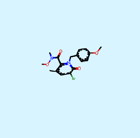 COc1ccc(Cn2c(C(=O)N(C)OC)c(C)cc(Br)c2=O)cc1